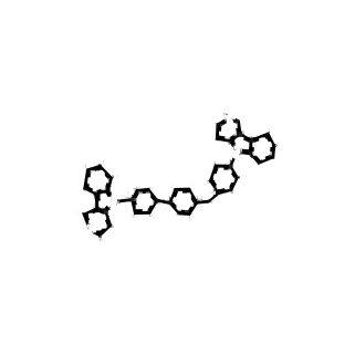 c1ccc2c(c1)c1cnccc1n2-c1ccc(Cc2ccc(-c3ccc(-n4c5ccccc5c5cnccc54)cc3)cc2)cc1